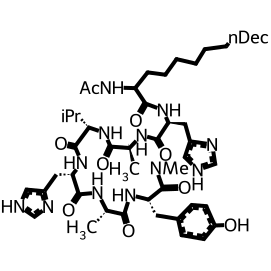 CCCCCCCCCCCCCCCCC(NC(C)=O)C(=O)N[C@@H](Cc1c[nH]cn1)C(=O)N[C@@H](C)C(=O)N[C@H](C(=O)N[C@@H](Cc1c[nH]cn1)C(=O)N[C@@H](C)C(=O)N[C@@H](Cc1ccc(O)cc1)C(=O)NC)C(C)C